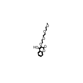 COCCOCCOCCOc1c(O)c2ccccc2oc1=O